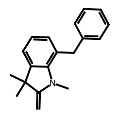 C=C1N(C)c2c(Cc3ccccc3)cccc2C1(C)C